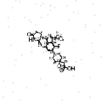 Cl.Cn1nc(N2CCC(=O)NC2=O)c2ccc(N3CCC(O)(CC(=O)O)CC3)c(F)c21